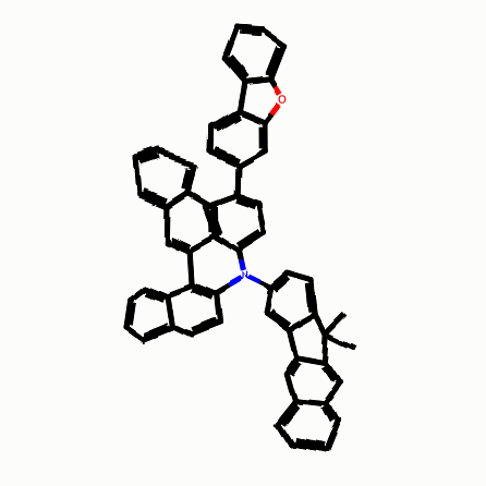 CC1(C)c2ccc(N(c3ccc(-c4ccc5c(c4)oc4ccccc45)cc3)c3ccc4ccccc4c3-c3ccc4ccccc4c3)cc2-c2cc3ccccc3cc21